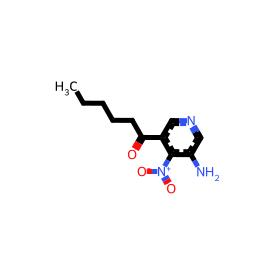 CCCCCC(=O)c1cncc(N)c1[N+](=O)[O-]